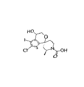 C[C@H]1C[C@@]2(CCN1C(=O)O)OCC(O)c1c2sc(Cl)c1I